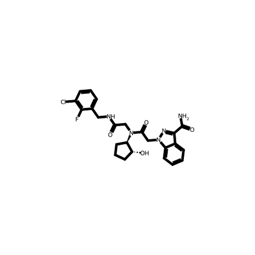 NC(=O)c1nn(CC(=O)N(CC(=O)NCc2cccc(Cl)c2F)[C@@H]2CCC[C@H]2O)c2ccccc12